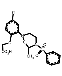 CC1CN(c2cc(Cl)ccc2OCC(=O)O)CCN1S(=O)(=O)c1ccccc1